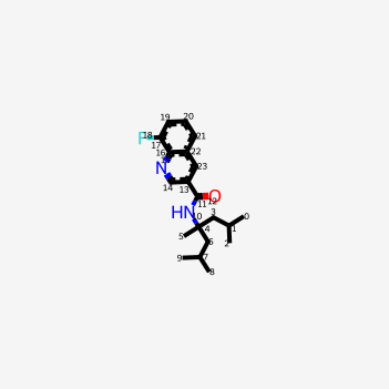 CC(C)CC(C)(CC(C)C)NC(=O)c1cnc2c(F)cccc2c1